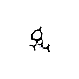 CC1CCCc2c(o/c(=N\C(C)C)n2C(C)C)C1